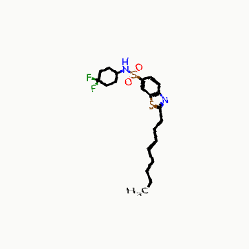 CCCCCCCCc1nc2ccc(S(=O)(=O)NC3CCC(F)(F)CC3)cc2s1